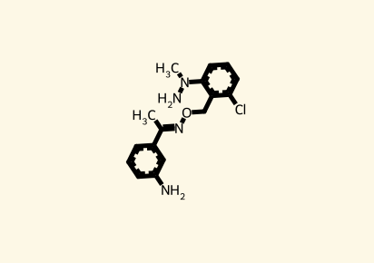 C/C(=N\OCc1c(Cl)cccc1N(C)N)c1cccc(N)c1